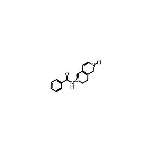 O=C(N[SH]1CCC2=C(C=CN(Cl)C2)C1)c1ccccc1